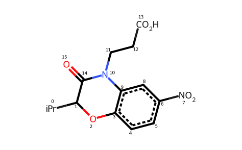 CC(C)C1Oc2ccc([N+](=O)[O-])cc2N(CCC(=O)O)C1=O